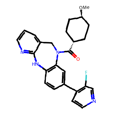 CO[C@H]1CC[C@H](C(=O)N2Cc3cccnc3Nc3ccc(-c4ccncc4F)cc32)CC1